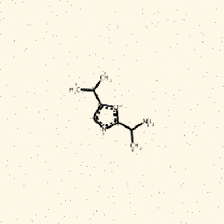 CC(C)c1cnc(C(C)N)o1